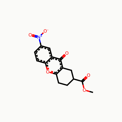 COC(=O)C1CCc2oc3ccc([N+](=O)[O-])cc3c(=O)c2C1